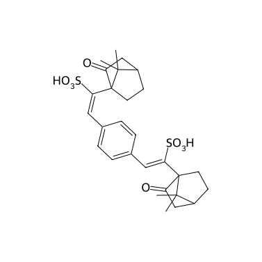 CC1(C)C2CCC1(C(=Cc1ccc(C=C(C34CCC(CC3=O)C4(C)C)S(=O)(=O)O)cc1)S(=O)(=O)O)C(=O)C2